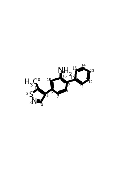 Cc1sncc1-c1ccc(-c2ccccc2)c(N)c1